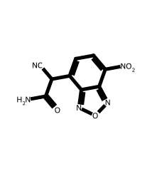 N#CC(C(N)=O)c1ccc([N+](=O)[O-])c2nonc12